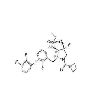 CCS(=O)(=O)N[C@@H]1[C@H](Cc2cccc(-c3cccc(F)c3F)c2F)N(C(=O)N2CCC2)CC1(F)F